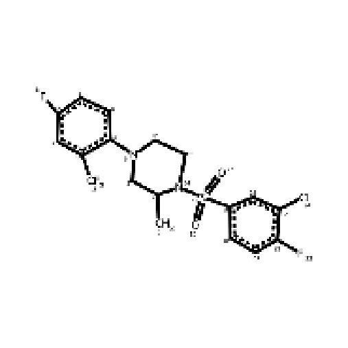 CC1CN(c2ccc(F)cc2C(F)(F)F)CCN1S(=O)(=O)c1ccc(F)c(Cl)c1